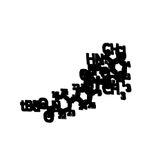 C[C@H](NC1=NS(=O)(=O)C(Cc2ccc(C3CCN(C(=O)OC(C)(C)C)CC3)cc2)C(C)(C)O1)c1ccccc1Cl